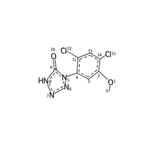 COc1cc(-n2nn[nH]c2=O)c(Cl)cc1Cl